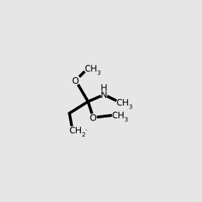 [CH2]CC(NC)(OC)OC